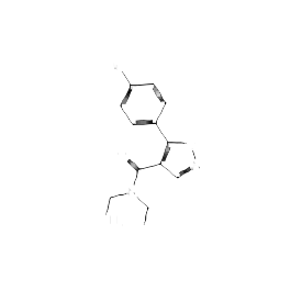 CCN(CC)C(=O)c1cnoc1-c1ccc(Br)cc1